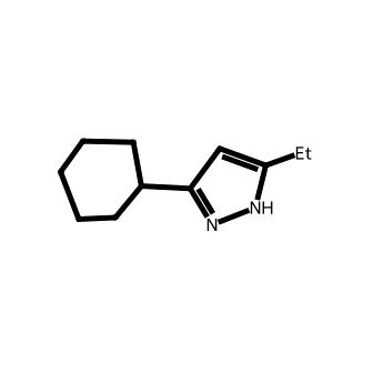 CCc1cc(C2CCCCC2)n[nH]1